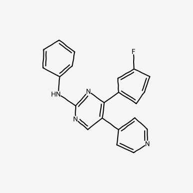 Fc1cccc(-c2nc(Nc3ccccc3)ncc2-c2ccncc2)c1